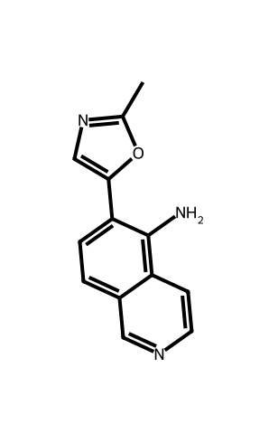 Cc1ncc(-c2ccc3cnccc3c2N)o1